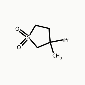 CC(C)C1(C)CCS(=O)(=O)C1